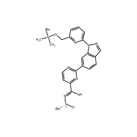 CCC/C(=N\[S@+]([O-])C(C)(C)C)c1ccnc(-c2ccc3cnn(-c4cccc(CO[Si](C)(C)C(C)(C)C)n4)c3c2)n1